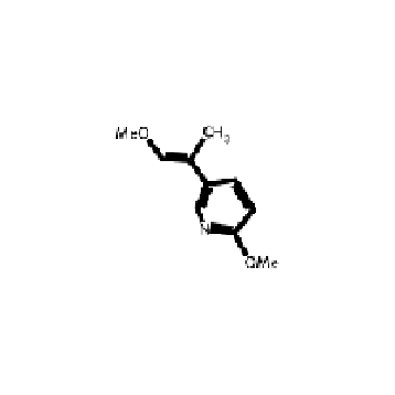 COC=C(C)c1ccc(OC)nc1